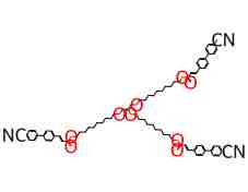 N#Cc1ccc(-c2ccc(C=CC(=O)OCCCCCCCCCCOCC(COCCCCCCCCCCOC(=O)C=Cc3ccc(-c4ccc(C#N)cc4)cc3)OCCCCCCCCCCOC(=O)C=Cc3ccc(-c4ccc(C#N)cc4)cc3)cc2)cc1